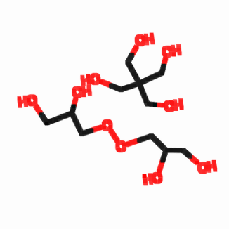 OCC(CO)(CO)CO.OCC(O)COOCC(O)CO